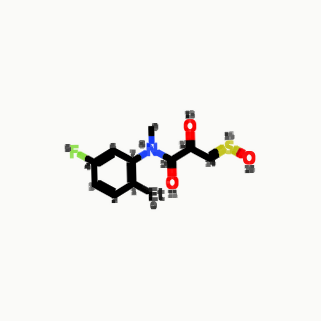 CCc1ccc(F)cc1N(C)C(=O)C(=O)C=S=O